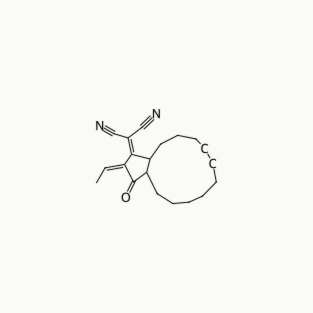 CC=C1C(=O)C2CCCCCCCCCCC2C1=C(C#N)C#N